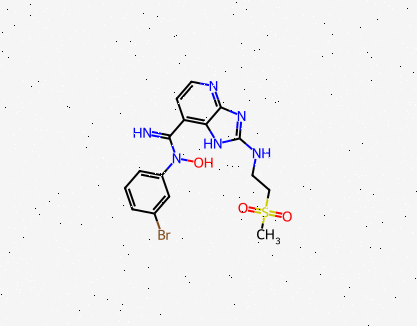 CS(=O)(=O)CCNc1nc2nccc(C(=N)N(O)c3cccc(Br)c3)c2[nH]1